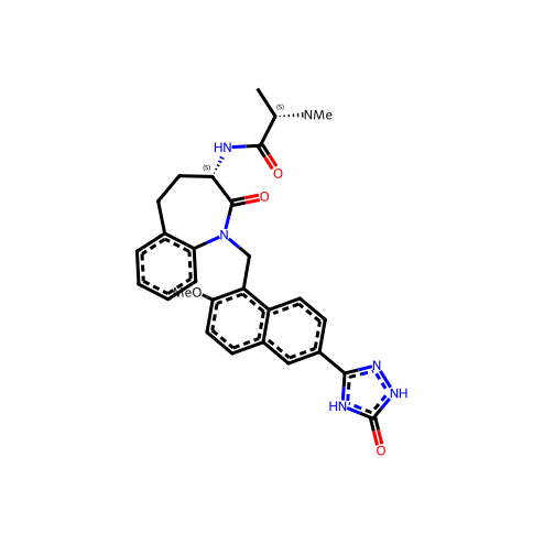 CN[C@@H](C)C(=O)N[C@H]1CCc2ccccc2N(Cc2c(OC)ccc3cc(-c4n[nH]c(=O)[nH]4)ccc23)C1=O